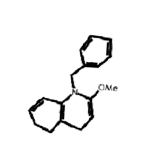 COC1=CCC2=C(C=CCC2)N1Cc1ccccc1